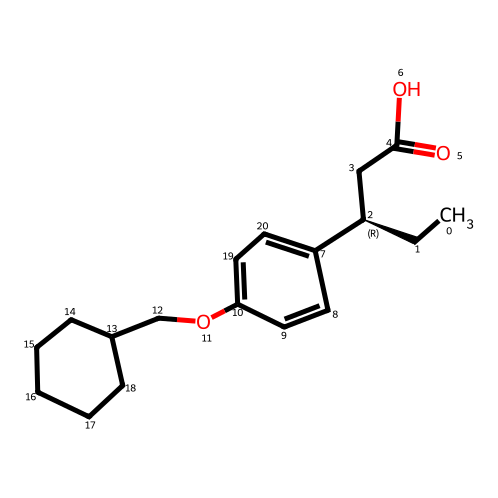 CC[C@H](CC(=O)O)c1ccc(OCC2CCCCC2)cc1